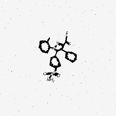 Cc1ccccc1-n1nc(C(F)F)c(-c2ccccc2)c1-c1ccc(S(N)(=O)=O)cc1